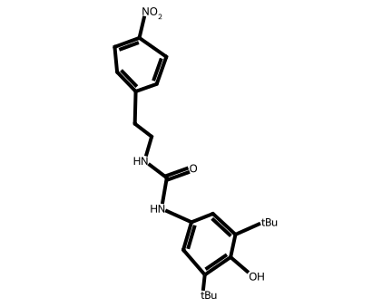 CC(C)(C)c1cc(NC(=O)NCCc2ccc([N+](=O)[O-])cc2)cc(C(C)(C)C)c1O